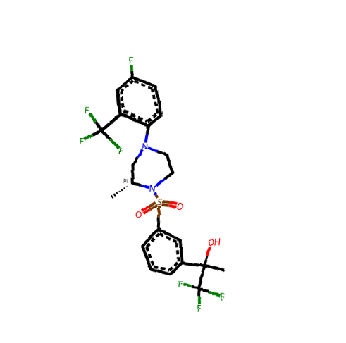 C[C@@H]1CN(c2ccc(F)cc2C(F)(F)F)CCN1S(=O)(=O)c1cccc(C(C)(O)C(F)(F)F)c1